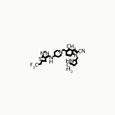 C=C1CCC(Cn2c(C#N)cc3c(C)c(CN4CCC(Nc5ncnc6sc(CC(F)(F)F)cc56)CC4)ccc32)N1